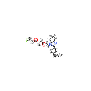 CNc1ccc(-c2nc3ccccc3n2CCOCCOCCF)cc1